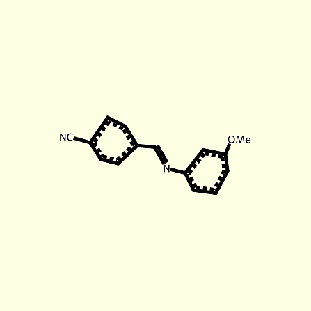 COc1cccc(N=Cc2ccc(C#N)cc2)c1